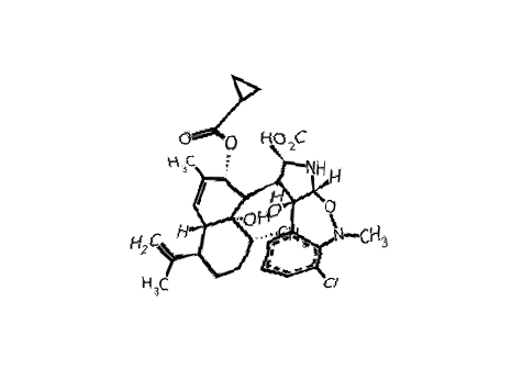 C=C(C)[C@@H]1CC[C@@H](C)[C@]2(O)C([C@H]3[C@@H](C(=O)O)N[C@@H]4ON(C)c5c(Cl)cccc5[C@@]43O)[C@@H](OC(=O)C3CC3)C(C)=C[C@@H]12